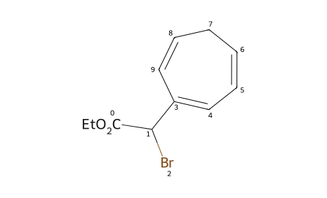 CCOC(=O)C(Br)C1=CC=CCC=C1